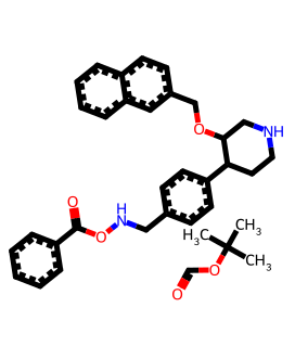 CC(C)(C)OC=O.O=C(ONCc1ccc(C2CCNCC2OCc2ccc3ccccc3c2)cc1)c1ccccc1